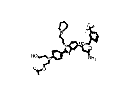 CC(=O)OCCN(CCO)c1ccc(-c2nc3cc(C(CC(N)=O)NCc4cccc(C(F)(F)F)c4)ccc3n2CCCN2CCCCC2)cc1